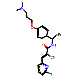 CCCC(NC(=O)/C(C#N)=C/c1cccc(F)n1)C1C=CC(OCCCN(C)C)=CC1